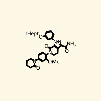 CCCCCCCOc1cccc(-n2nc(C(N)=O)c3c2C(=O)N(c2ccc(N4CCCCC4=O)cc2OC)CC3)c1